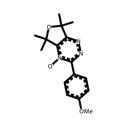 COc1ccc(-c2nnc3c([n+]2[O-])C(C)(C)OC3(C)C)cc1